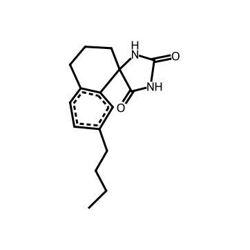 CCCCc1ccc2c(c1)C1(CCC2)NC(=O)NC1=O